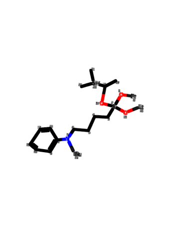 CCO[Si](CCCCN(c1ccccc1)C(C)(C)C)(OCC)OC(C)[SiH](C)C